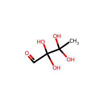 CC(O)(O)C(O)(O)C=O